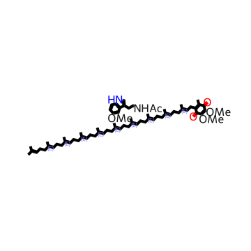 COC1=C(OC)C(=O)C(C/C=C(\C)CC/C=C(\C)CC/C=C(\C)CC/C=C(\C)CC/C=C(\C)CC/C=C(\C)CC/C=C(\C)CC/C=C(\C)CC/C=C(\C)CCC=C(C)C)=C(C)C1=O.COc1ccc2[nH]cc(CCNC(C)=O)c2c1